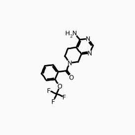 Nc1ncnc2c1CCN(C(=O)c1ccccc1OC(F)(F)F)C2